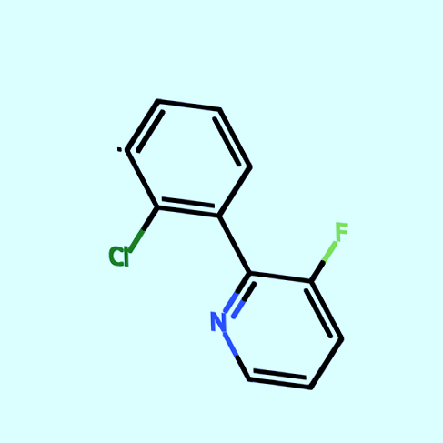 Fc1cccnc1-c1ccc[c]c1Cl